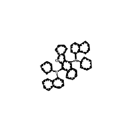 c1ccc(N(c2cccc3ccccc23)c2c3ccccc3c(N(c3ccccc3)c3cccc4ccccc34)c3c2oc2ccccc23)cc1